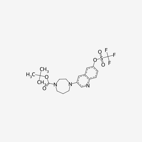 CC(C)(C)OC(=O)N1CCCN(c2cnc3ccc(OS(=O)(=O)C(F)(F)F)cc3c2)CC1